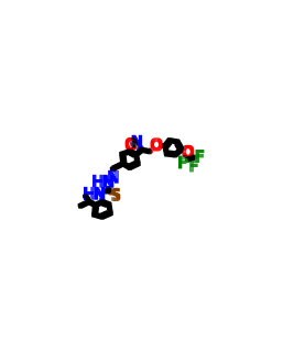 CC(C)c1ccccc1NC(=S)N/N=C/c1ccc2c(COc3ccc(OC(F)(F)F)cc3)noc2c1